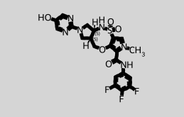 Cn1cc2c(c1C(=O)Nc1cc(F)c(F)c(F)c1)OC[C@H]1CN(c3ncc(O)cn3)C[C@H]1NS2(=O)=O